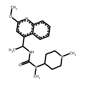 COc1cc(C(C)NC(=O)N(C)C2CCN(C)CC2)c2ccccc2n1